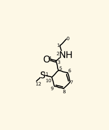 CCNC(=O)C1C=CC=CC1SC